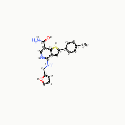 CC(C)(C)c1ccc(-c2cc3c(NCc4ccco4)ncc(C(N)=O)c3s2)cc1